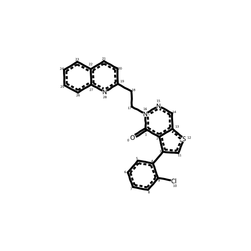 O=c1c2c(-c3ccccc3Cl)csc2cnn1CCc1ccc2ccccc2n1